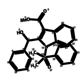 COC(=O)c1c(C(O)c2ccccc2)n(S(C)(C)(=O)c2ccccc2)c2ccccc12